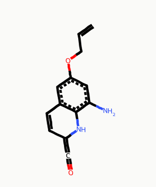 C=CCOc1cc(N)c2c(c1)C=CC(=C=O)N2